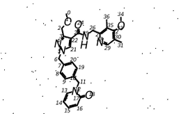 COCc1nn(Cc2ccc(Cn3ccccc3=O)cc2)cc1C(=O)NCc1ncc(C)c(OC)c1C